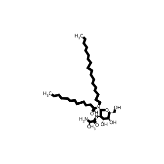 CCCCCCCCCCCCCCCCCCN(C(=O)CCCCCCCCCCC)[C@@H]1O[C@H](CO)[C@@H](O)[C@H](O)[C@H]1NC(=O)[C@@H](C)N